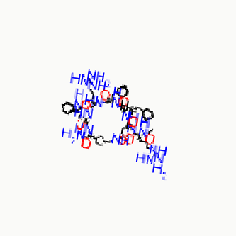 CC(=O)N[C@@H](CCCNC(=N)N)C(=O)N[C@H]1CC(=O)NCCCC[C@@H](C(N)=O)NC(=O)[C@H](Cc2c[nH]c3ccccc23)NC(=O)[C@H](CCCNC(=N)N)NC(=O)[C@@H](Cc2ccccc2)NC(=O)[C@@H]2C[C@@H](Cc3ccccc3)CN2C1=O